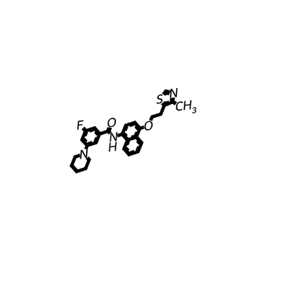 Cc1ncsc1CCOc1ccc(NC(=O)c2cc(F)cc(N3CCCCC3)c2)c2ccccc12